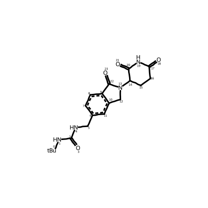 CC(C)(C)NC(=O)NCc1ccc2c(c1)CN(C1CCC(=O)NC1=O)C2=O